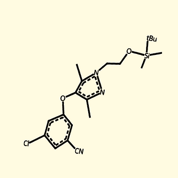 Cc1nn(CCO[Si](C)(C)C(C)(C)C)c(C)c1Oc1cc(Cl)cc(C#N)c1